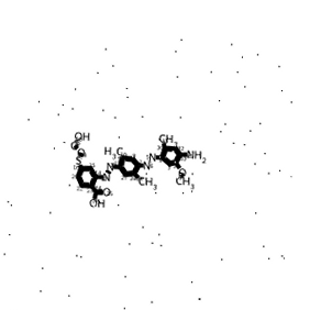 COc1cc(N=Nc2cc(C)c(N=Nc3cc(SOOO)ccc3C(=O)O)cc2C)c(C)cc1N